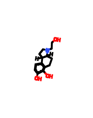 OCCN1CC[C@H]2c3ccc(O)c(O)c3CC[C@H]21